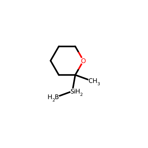 B[SiH2]C1(C)CCCCO1